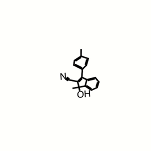 Cc1ccc(C2=C(C#N)C(C)(O)c3ccccc32)cc1